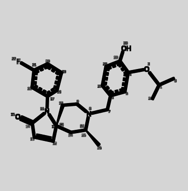 CC(C)Oc1cc(CN2CC[C@]3(C=CC(=O)N3c3cccc(F)c3)C[C@@H]2C)ccc1O